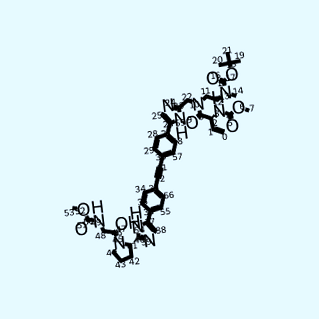 C=C[C@H](NC(=O)OC)C(=O)N(CCN(C)C(=O)OC(C)(C)C)Cc1ncc(-c2ccc(C#Cc3ccc(-c4cnc([C@@H]5CCCN5C(O)CNC(=O)OC)[nH]4)cc3)cc2)[nH]1